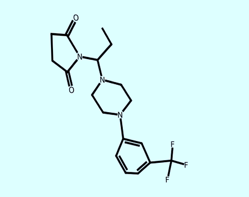 CCC(N1CCN(c2cccc(C(F)(F)F)c2)CC1)N1C(=O)CCC1=O